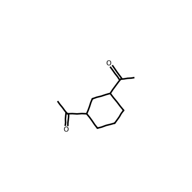 CC(=O)[C]1CCCC(C(C)=O)C1